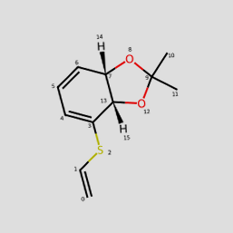 C=CSC1=CC=C[C@@H]2OC(C)(C)O[C@H]12